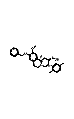 COc1cc2c(cc1OCc1ccccc1)CCN1C[C@@H](c3cc(C)ccc3C)/C(=N\O)C[C@H]21